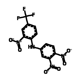 O=[N+]([O-])c1cc(C(F)(F)F)ccc1Nc1ccc([N+](=O)[O-])c([N+](=O)[O-])c1